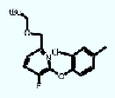 Cc1ccc(Oc2nc(COCC(C)(C)C)ccc2F)c(Cl)c1